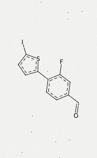 O=Cc1ccc(-c2ccc(I)s2)c(F)c1